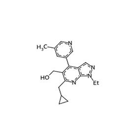 CCn1ncc2c(-c3cncc(C)c3)c(CO)c(CC3CC3)nc21